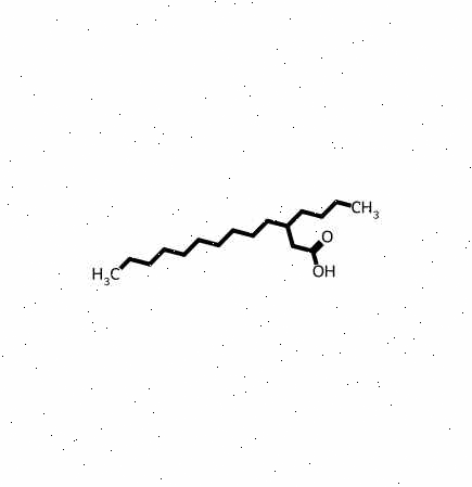 CCCCCCCCCCC(CCCC)CC(=O)O